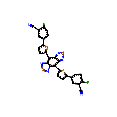 N#Cc1cc(-c2ccc(-c3c4c(c(-c5ccc(-c6ccc(F)c(C#N)c6)s5)c5nsnc35)N=S=N4)s2)ccc1F